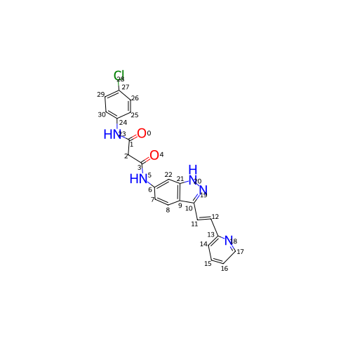 O=C(CC(=O)Nc1ccc2c(C=Cc3ccccn3)n[nH]c2c1)Nc1ccc(Cl)cc1